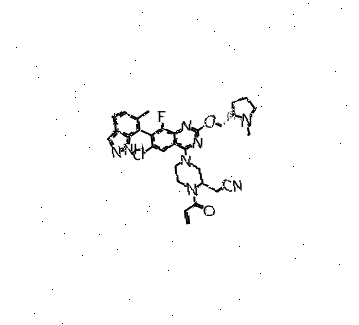 C=CC(=O)N1CCN(c2nc(OC[C@@H]3CCCN3C)nc3c(F)c(-c4c(C)ccc5cn[nH]c45)c(Cl)cc23)CC1CC#N